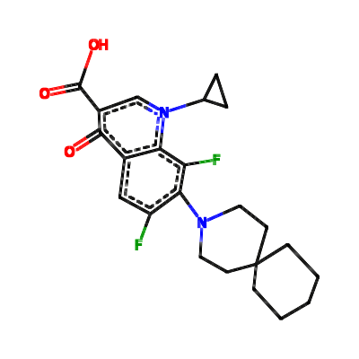 O=C(O)c1cn(C2CC2)c2c(F)c(N3CCC4(CCCCC4)CC3)c(F)cc2c1=O